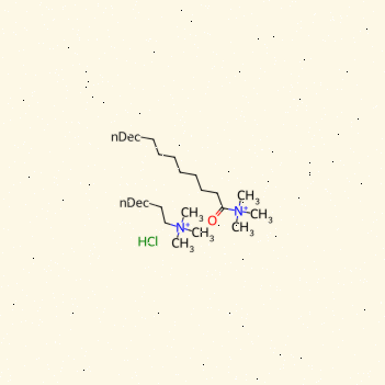 CCCCCCCCCCCCCCCCCC(=O)[N+](C)(C)C.CCCCCCCCCCCC[N+](C)(C)C.Cl